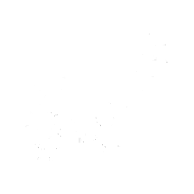 COC(=O)c1ccc2c(n1)N(C(=O)Nc1nccc(OCCCCOC(C)(C)OC)n1)C1CCN2C1